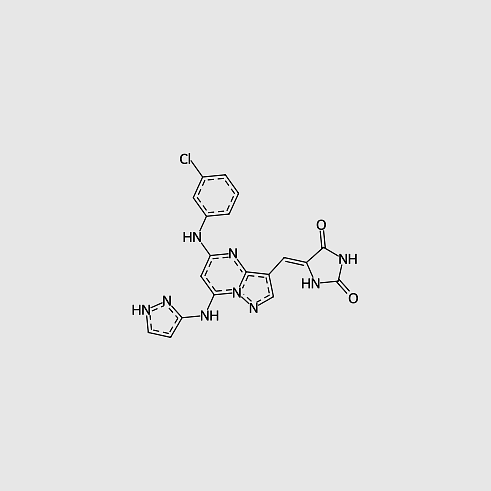 O=C1NC(=O)C(=Cc2cnn3c(Nc4cc[nH]n4)cc(Nc4cccc(Cl)c4)nc23)N1